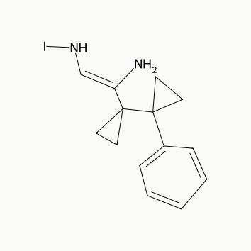 N/C(=C\NI)C1(C2(c3ccccc3)CC2)CC1